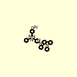 CCCc1ccc(-c2nc(-c3ccccc3)nc(-c3ccc(-n4c5ccccc5c5c4ccc4c6ccccc6n(-c6ccccc6)c45)nc3)n2)cc1